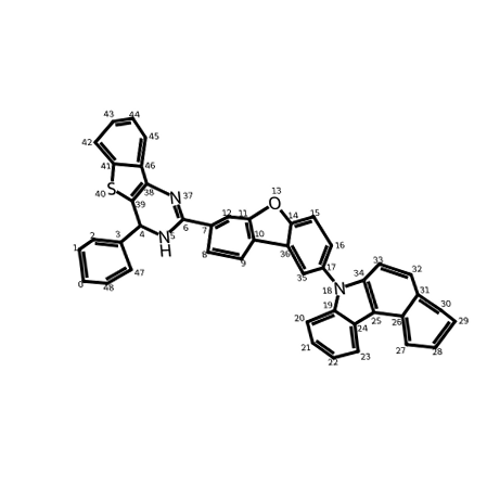 c1ccc(C2NC(c3ccc4c(c3)oc3ccc(-n5c6ccccc6c6c7ccccc7ccc65)cc34)=Nc3c2sc2ccccc32)cc1